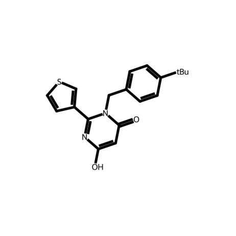 CC(C)(C)c1ccc(Cn2c(-c3ccsc3)nc(O)cc2=O)cc1